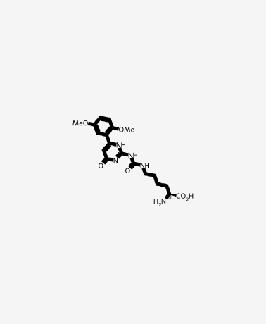 COc1ccc(OC)c(-c2cc(=O)nc(NC(=O)NCCCC[C@H](N)C(=O)O)[nH]2)c1